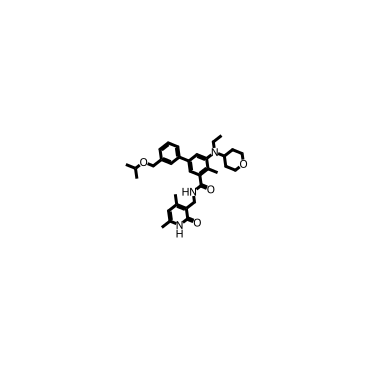 CCN(c1cc(-c2cccc(COC(C)C)c2)cc(C(=O)NCc2c(C)cc(C)[nH]c2=O)c1C)C1CCOCC1